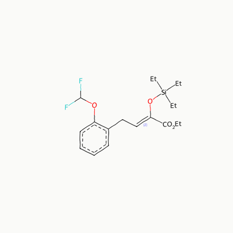 CCOC(=O)/C(=C/Cc1ccccc1OC(F)F)O[Si](CC)(CC)CC